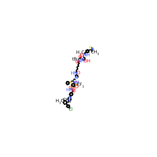 Cc1ncsc1-c1ccc([C@H](C)NC(=O)[C@@H]2C[C@@H](O)CN2C(=O)[C@@H](NC(=O)CCCCCCC(=O)N[C@H]2CCN(CC[C@H](CSc3ccccc3)Nc3ccc(S(=O)(=O)NC(=O)c4ccc(N5CCN(CC6=C(c7ccc(Cl)cc7)CCC(C)(C)C6)CC5)cc4)cc3S(=O)(=O)C(F)(F)F)C2)C(C)(C)C)cc1